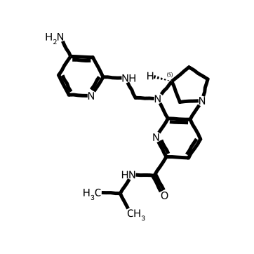 CC(C)NC(=O)c1ccc2c(n1)N(CNc1cc(N)ccn1)[C@H]1CCN2C1